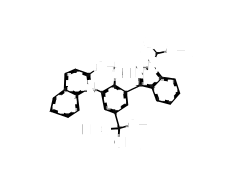 Cc1c(-c2nn(C(C)C)c3ccccc23)cc(C(C)(C)C)cc1-[n+]1c(C)ccc2ccccc21